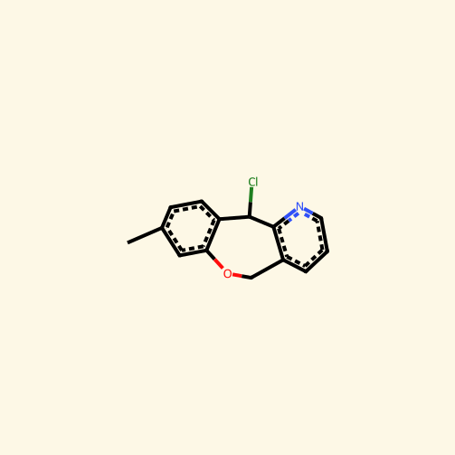 Cc1ccc2c(c1)OCc1cccnc1C2Cl